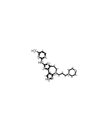 Cc1ccnc(Nc2nc3c(s2)CCN(CCCN2CCOCC2)c2n[nH]cc2-3)n1